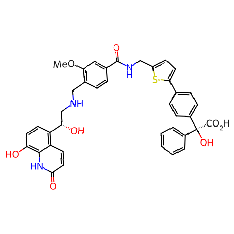 COc1cc(C(=O)NCc2ccc(-c3ccc([C@](O)(C(=O)O)c4ccccc4)cc3)s2)ccc1CNC[C@H](O)c1ccc(O)c2[nH]c(=O)ccc12